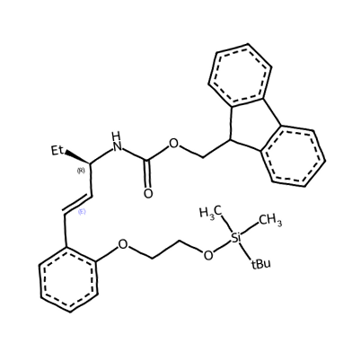 CC[C@H](/C=C/c1ccccc1OCCO[Si](C)(C)C(C)(C)C)NC(=O)OCC1c2ccccc2-c2ccccc21